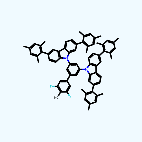 Cc1cc(C)c(-c2ccc3c(c2)c2ccc(-c4c(C)cc(C)cc4C)cc2n3-c2cc(-c3cc(F)c(C#N)c(F)c3)cc(-n3c4ccc(-c5c(C)cc(C)cc5C)cc4c4ccc(-c5c(C)cc(C)cc5C)cc43)c2)c(C)c1